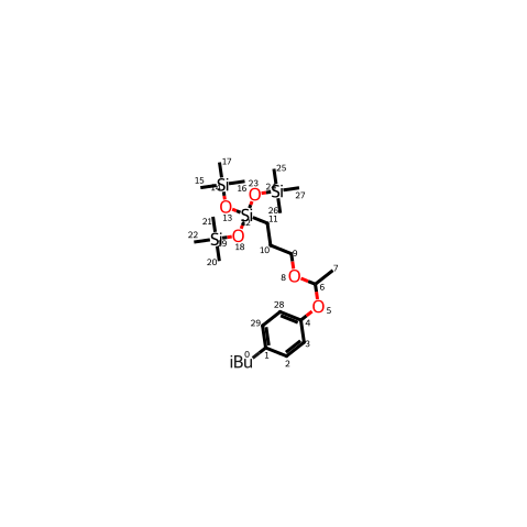 CCC(C)c1ccc(OC(C)OCCC[Si](O[Si](C)(C)C)(O[Si](C)(C)C)O[Si](C)(C)C)cc1